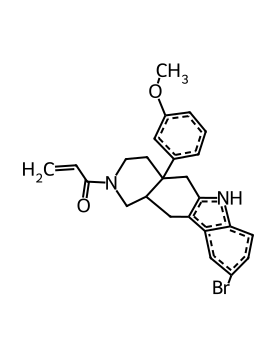 C=CC(=O)N1CCC2(c3cccc(OC)c3)Cc3[nH]c4ccc(Br)cc4c3CC2C1